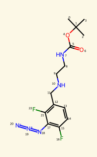 CC(C)(C)OC(=O)NCCNCc1ccc(F)c(N=[N+]=[N-])c1F